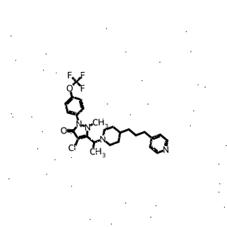 CC(c1c(Cl)c(=O)n(-c2ccc(OC(F)(F)F)cc2)n1C)N1CCC(CCCc2ccncc2)CC1